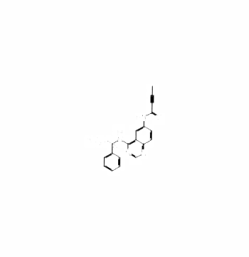 CC#CC(=O)Nc1ccc2ncnc(N[C@H](C(=O)O)c3ccccc3)c2c1